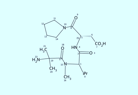 CC(C)C(C(=O)N[C@@H](CC(=O)O)C(=O)N1CCCC1)N(C)C(=O)C(C)(C)N